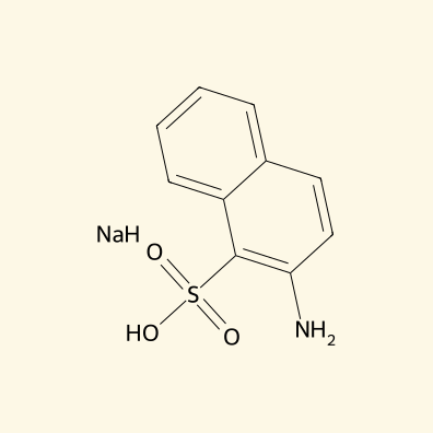 Nc1ccc2ccccc2c1S(=O)(=O)O.[NaH]